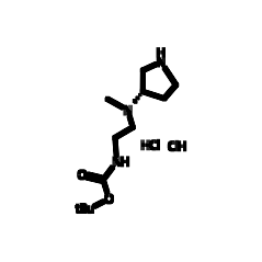 CN(CCNC(=O)OC(C)(C)C)[C@H]1CCNC1.Cl.Cl